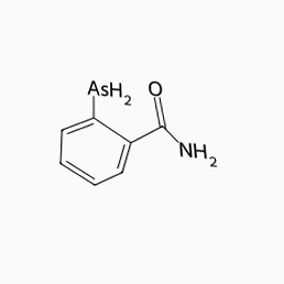 NC(=O)c1ccccc1[AsH2]